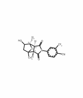 CC12CC(O)[C@](C)(O1)[C@H]1C(=O)N(c3ccc(C#N)c(C(F)(F)F)c3)C(=O)[C@@H]12